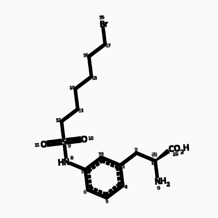 N[C@@H](Cc1cccc(NS(=O)(=O)CCCCCCBr)c1)C(=O)O